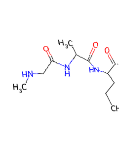 CCCC([C]=O)NC(=O)C(C)NC(=O)CNC